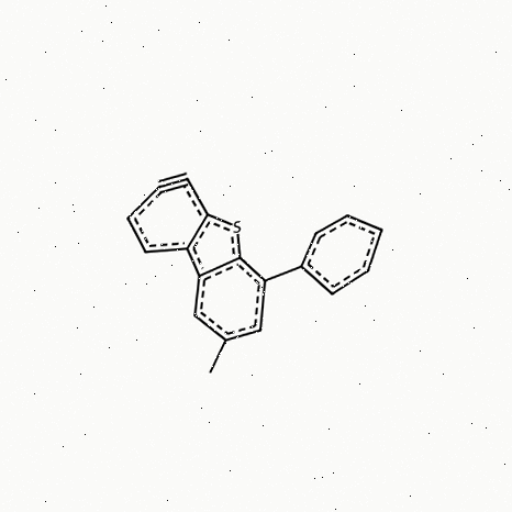 Cc1cc(-c2ccccc2)c2sc3c#cccc3c2c1